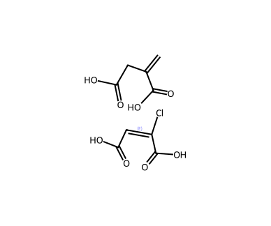 C=C(CC(=O)O)C(=O)O.O=C(O)/C=C(/Cl)C(=O)O